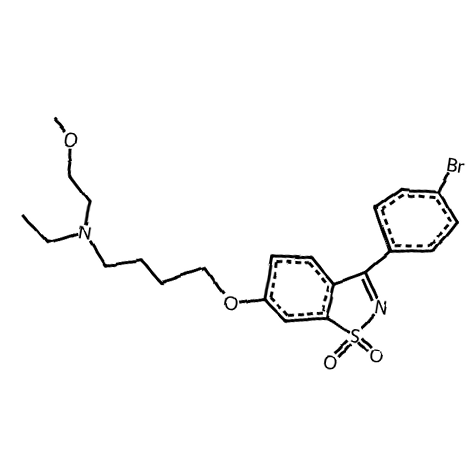 CCN(CCCCOc1ccc2c(c1)S(=O)(=O)N=C2c1ccc(Br)cc1)CCOC